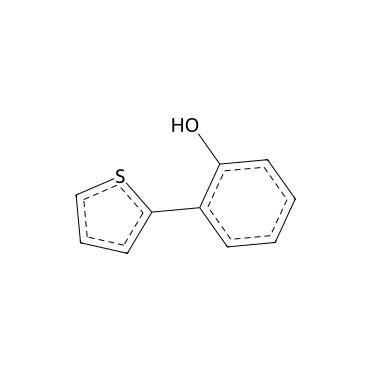 Oc1ccccc1-c1cccs1